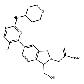 CNC(=O)CN1Cc2cc(-c3nc(NC4CCOCC4)ncc3Cl)ccc2C1CO